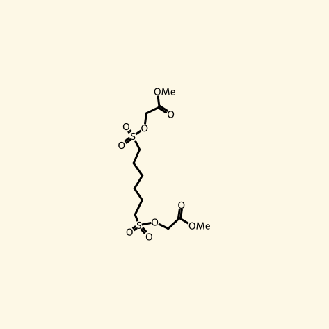 COC(=O)COS(=O)(=O)CCCCCCS(=O)(=O)OCC(=O)OC